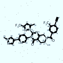 C#Cc1ccc(C(=O)N2Cc3nc(-n4nc(C(F)(F)F)cc4C)n(-c4ccc(-c5cnn(C)c5)nc4)c(=O)c3C[C@H]2C)cc1C(F)(F)F